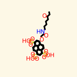 CCC(=O)CCCCCNC(=O)COc1cc(S(=O)(=O)O)c2ccc3c(S(=O)(=O)O)cc(S(=O)(=O)O)c4ccc1c2c43